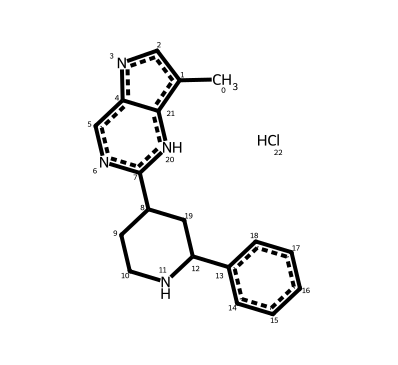 Cc1cnc2cnc(C3CCNC(c4ccccc4)C3)[nH]c1-2.Cl